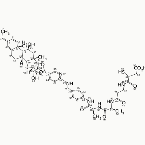 C/C=C1\C=C[C@@]2(C)C(=C1)CC[C@@H]1C2[C@@H](O)C[C@@]2(C)C1C[C@H]1O[C@@H](c3ccc(NCc4ccc(NC(=O)[C@H](C)NC(=O)[C@H](C)NC(=O)CCNC(=O)C(S)CC(=O)O)cc4)nc3)O[C@]12C(=O)CO